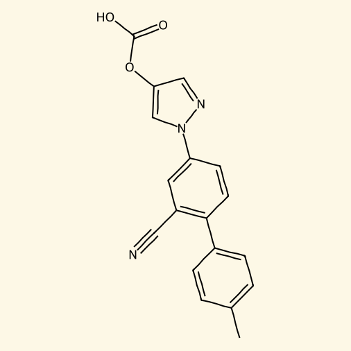 Cc1ccc(-c2ccc(-n3cc(OC(=O)O)cn3)cc2C#N)cc1